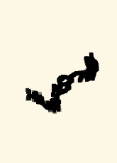 Cc1ccc2nnc(Cc3ccc4nc(-c5cnn(CC6CNC6)c5)ccc4c3)n2n1